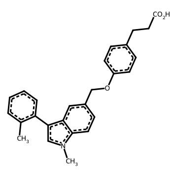 Cc1ccccc1-c1cn(C)c2ccc(COc3ccc(CCC(=O)O)cc3)cc12